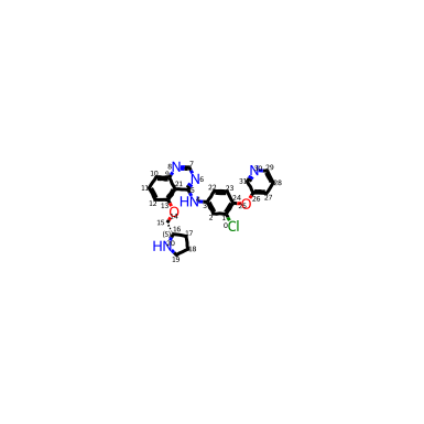 Clc1cc(Nc2ncnc3cccc(OC[C@@H]4CCCN4)c23)ccc1Oc1cccnc1